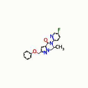 C[C@H]1Cn2nc(COc3ccccc3)cc2C(=O)N1c1ccc(F)cn1